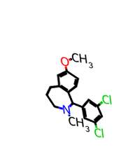 COc1ccc2c(c1)CCCN(C)C2c1cc(Cl)cc(Cl)c1